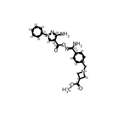 COC(=O)C1CN(Cc2ccc(/C(N)=N/OC(=O)c3cn(-c4ccccc4)nc3N)cc2)C1